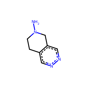 NN1CCc2cnncc2C1